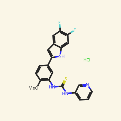 COc1ccc(-c2cc3cc(F)c(F)cc3[nH]2)cc1NC(=S)Nc1cccnc1.Cl